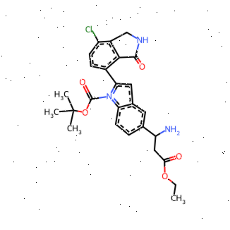 CCOC(=O)CC(N)c1ccc2c(c1)cc(-c1ccc(Cl)c3c1C(=O)NC3)n2C(=O)OC(C)(C)C